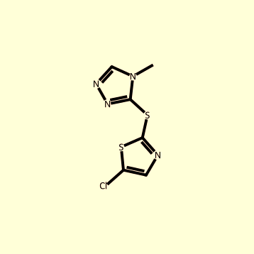 Cn1cnnc1Sc1ncc(Cl)s1